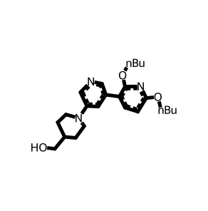 CCCCOc1ccc(-c2cncc(N3CCC(CO)CC3)c2)c(OCCCC)n1